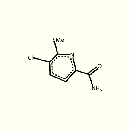 CSc1nc(C(N)=O)ccc1Cl